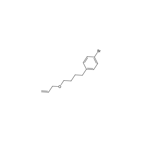 C=CCOCCCCc1ccc(Br)cc1